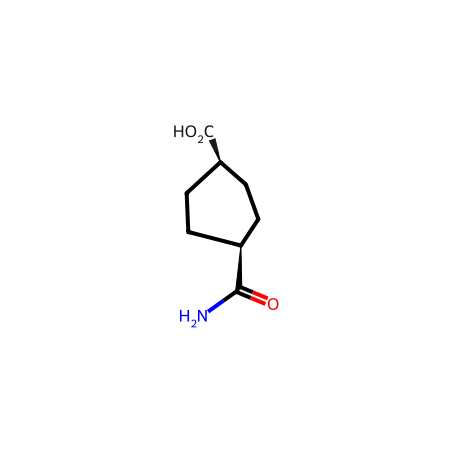 NC(=O)[C@H]1CC[C@@H](C(=O)O)CC1